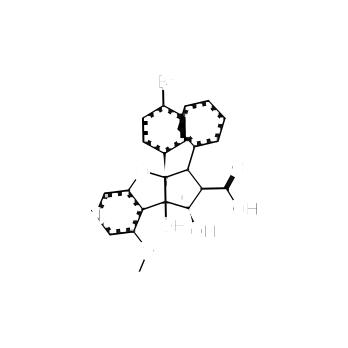 COc1cncc2c1C1(O)[C@H](O)C(C(=O)O)C(c3ccccc3)[C@@]1(c1ccc(Br)cc1)O2